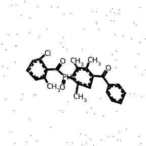 Cc1cccc(Cl)c1C(=O)[PH](=O)c1c(C)cc(C(=O)c2ccccc2)c(C)c1C